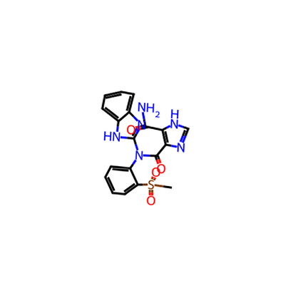 CS(=O)(=O)c1ccccc1N(C(=O)c1nc[nH]c1C(N)=O)c1nc2ccccc2[nH]1